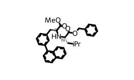 COC(=O)[C@H](Cc1cccc(-c2cccc3ccccc23)c1)N[C@@H](CC(C)C)C(=O)OCc1ccccc1